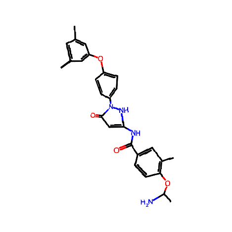 Cc1cc(C)cc(Oc2ccc(-n3[nH]c(NC(=O)c4ccc(OC(C)N)c(C)c4)cc3=O)cc2)c1